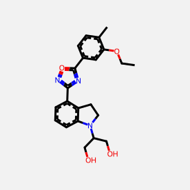 CCOc1cc(-c2nc(-c3cccc4c3CCN4C(CO)CO)no2)ccc1C